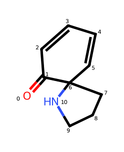 O=C1C=CC=CC12CCCN2